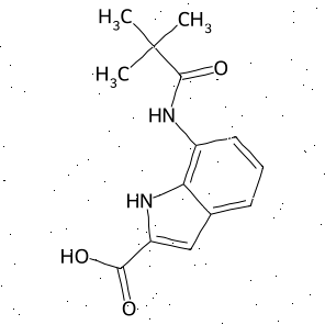 CC(C)(C)C(=O)Nc1cccc2cc(C(=O)O)[nH]c12